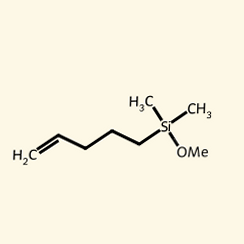 C=CCCC[Si](C)(C)OC